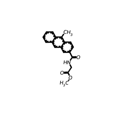 COC(=O)CNC(=O)c1ccc2c(C)c3ccccc3cc2c1